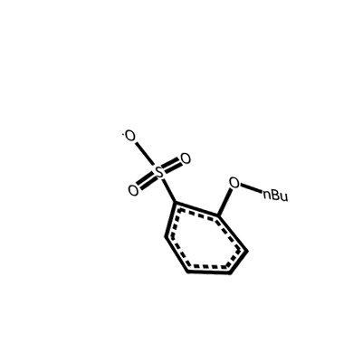 CCCCOc1ccccc1S([O])(=O)=O